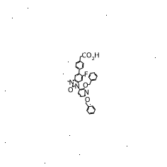 Cn1c(=O)n(-c2ccc(OCc3ccccc3)nc2OCc2ccccc2)c2cc(F)c(-c3ccc(CC(=O)O)cc3)cc21